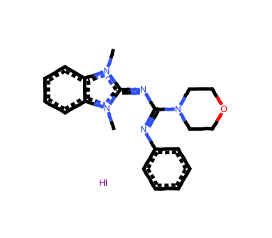 Cn1c(=NC(=Nc2ccccc2)N2CCOCC2)n(C)c2ccccc21.I